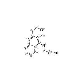 CCCCCC=Nc1c2c(nc3ccccc13)CCOC2